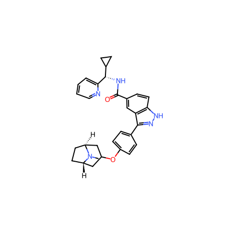 CN1[C@H]2CC[C@H]1CC(Oc1ccc(-c3n[nH]c4ccc(C(=O)N[C@H](c5ccccn5)C5CC5)cc34)cc1)C2